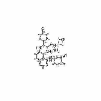 N/C(=C\N(N)C1COC1)C(Nc1ccc2ncnc(Nc3ccc(F)c(Cl)c3)c2c1)c1ccc(Cl)cc1